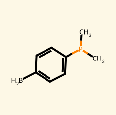 Bc1ccc(P(C)C)cc1